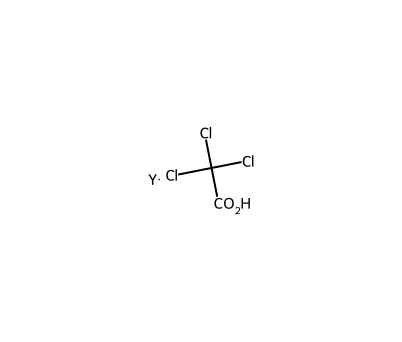 O=C(O)C(Cl)(Cl)Cl.[Y]